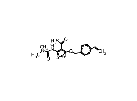 C=Cc1ccc(COc2nsc(NC(=O)N(C)C)c2C(N)=O)cc1